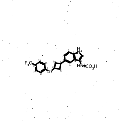 O=C(O)Nc1c[nH]c2ccc(C3CC(Oc4ccc(C(F)(F)F)cc4)C3)cc12